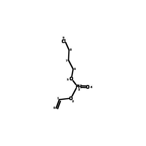 C=CO[PH](=O)OCCCCl